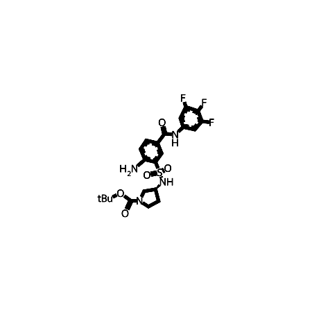 CC(C)(C)OC(=O)N1CC[C@H](NS(=O)(=O)c2cc(C(=O)Nc3cc(F)c(F)c(F)c3)ccc2N)C1